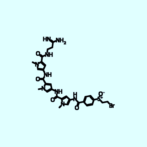 Cn1cc(NC(=O)c2cc(NC(=O)c3cc(NC(=O)c4ccc([S+]([O-])CCBr)cc4)cn3C)cn2C)cc1C(=O)NCCC(=N)N